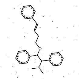 CN(C)C(c1ccccc1)C(OCCC=Cc1ccccc1)c1ccccc1